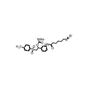 CNC(=O)OC(CS(=O)(=O)c1ccc(C)cc1)c1cccc(NC(=O)CCCCCN=[N+]=[N-])c1